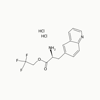 Cl.Cl.N[C@@H](Cc1ccc2ncccc2c1)C(=O)OCC(F)(F)F